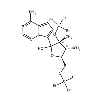 CC[Si](CC)(CC)OC[C@H]1OC(O)(c2ccc3c(N)ncnn23)[C@](C)(O[Si](CC)(CC)CC)[C@@H]1C